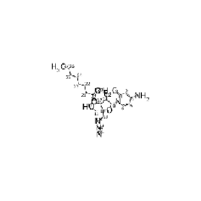 C=C1C=C(N)C=CN1[C@@H]1O[C@@](CO)(CN=[N+]=[N-])[C@@H](OC(=O)CCCCCCC)[C@H]1F